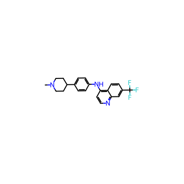 CN1CCC(c2ccc(Nc3ccnc4cc(C(F)(F)F)ccc34)cc2)CC1